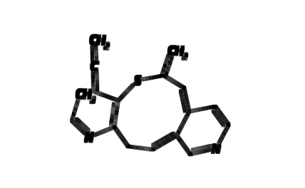 C=C=C/C1=C(\N=C/C)C/C=c2/cncc/c2=C/C(=C)S1